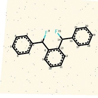 FC(c1ccccc1)c1[c]cccc1C(F)c1ccccc1